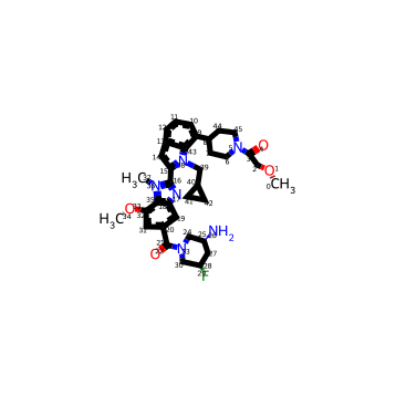 COCC(=O)N1CCC(c2cccc3cc(-c4nc5cc(C(=O)N6C[C@H](N)C[C@@H](F)C6)cc(OC)c5n4C)n(CC4CC4)c23)CC1